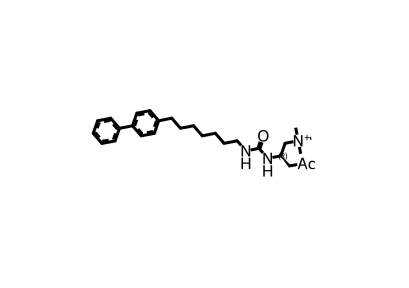 CC(=O)C[C@H](C[N+](C)(C)C)NC(=O)NCCCCCCCc1ccc(-c2ccccc2)cc1